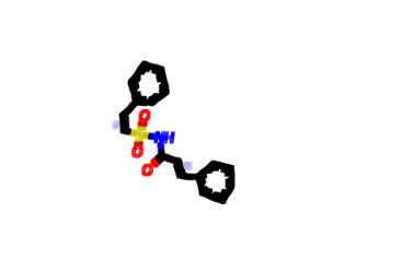 O=C(/C=C/c1ccccc1)NS(=O)(=O)/C=C\c1ccccc1